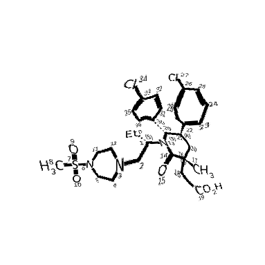 CC[C@@H](CN1CCN(S(C)(=O)=O)CC1)N1C(=O)[C@@](C)(CC(=O)O)C[C@H](c2cccc(Cl)c2)[C@H]1c1ccc(Cl)cc1